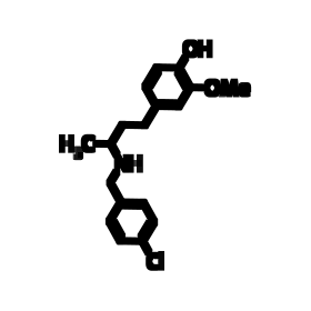 COc1cc(CCC(C)NCc2ccc(Cl)cc2)ccc1O